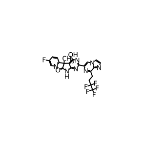 CC1(c2ccc(F)cn2)C(=O)Nc2nc(-c3cn4ccnc4c(CCC(F)(F)C(F)(F)F)n3)nc(O)c21